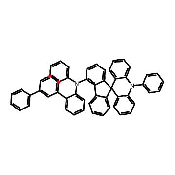 c1ccc(-c2cccc(-c3ccccc3N(c3ccccc3)c3cccc4c3-c3ccccc3C43c4ccccc4N(c4ccccc4)c4ccccc43)c2)cc1